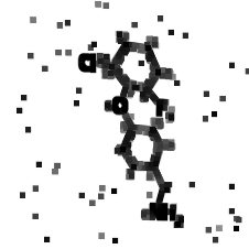 NCc1ccc(Oc2c(F)cccc2Cl)cc1